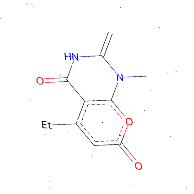 C=C1NC(=O)c2c(CC)cc(=O)oc2N1C